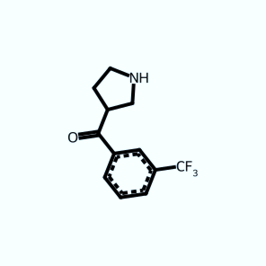 O=C(c1cccc(C(F)(F)F)c1)C1CCNC1